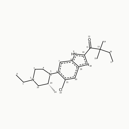 CCN1CCN(c2cc3[nH]c(C(=O)C(C)(C)CC)nc3cc2Cl)[C@H](C)C1